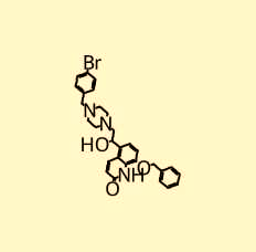 O=c1ccc2c([C@@H](O)CN3CCN(Cc4ccc(Br)cc4)CC3)ccc(OCc3ccccc3)c2[nH]1